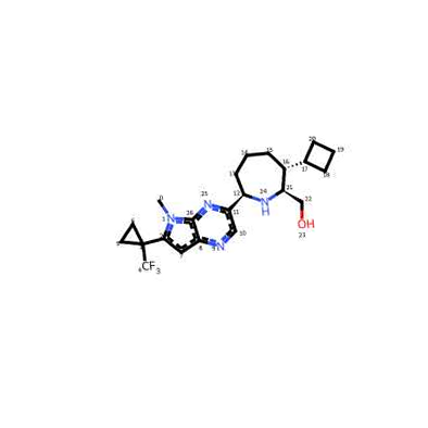 Cn1c(C2(C(F)(F)F)CC2)cc2ncc([C@H]3CCC[C@H](C4CCC4)[C@@H](CO)N3)nc21